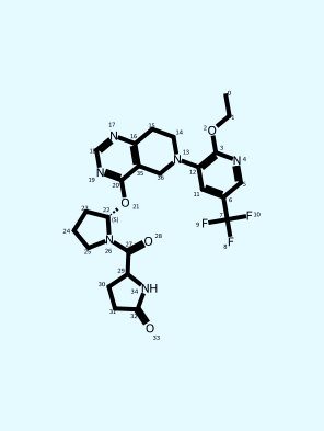 CCOc1ncc(C(F)(F)F)cc1N1CCc2ncnc(O[C@H]3CCCN3C(=O)C3CCC(=O)N3)c2C1